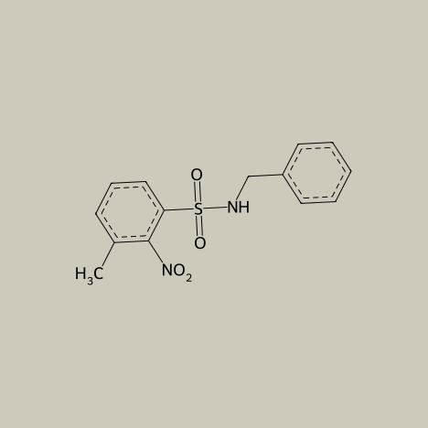 Cc1cccc(S(=O)(=O)NCc2ccccc2)c1[N+](=O)[O-]